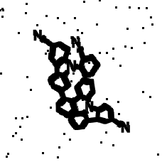 N#Cc1ccc2c(c1)c1ccc(-c3ccccc3-c3ccccc3-n3c4ccccc4c4cc(C#N)ccc43)cc1n2-c1ccccc1C#N